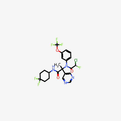 CC(C(=O)NC1CCC(F)(F)CC1)(c1cncnc1)N(C(=O)[C@H](F)Cl)c1cccc(OC(F)(F)F)c1